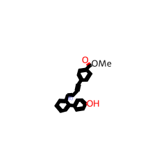 COC(=O)c1ccc(C#C/C=C/c2ccccc2-c2ccc(O)cc2)cc1